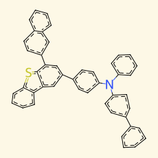 c1ccc(-c2ccc(N(c3ccccc3)c3ccc(-c4cc(-c5ccc6ccccc6c5)c5sc6ccccc6c5c4)cc3)cc2)cc1